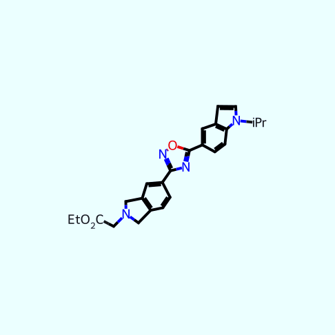 CCOC(=O)CN1Cc2ccc(-c3noc(-c4ccc5c(ccn5C(C)C)c4)n3)cc2C1